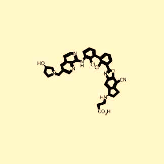 N#Cc1c2c(cc3nc(-c4cccc(-c5cccc(Nc6nccc7cc(CN8CC[C@@H](O)C8)cnc67)c5Cl)c4Cl)oc13)[C@@H](NCCC(=O)O)CC2